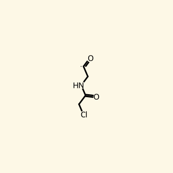 O=[C]CNC(=O)CCl